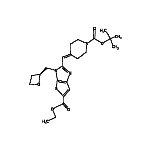 CCOC(=O)c1cc2nc(C=C3CCN(C(=O)OC(C)(C)C)CC3)n(C[C@@H]3CCO3)c2s1